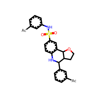 CC(=O)c1cccc(NS(=O)(=O)c2ccc3c(c2)C2OCCC2C(c2cccc(C(C)=O)c2)N3)c1